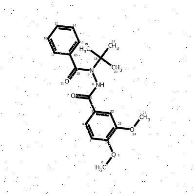 COc1ccc(C(=O)NN(C(=O)c2ccccc2)C(C)(C)C)cc1OC